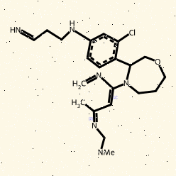 C=N/C(=C\C(C)=N/CNC)N1CCCOCC1c1ccc(NCCC=N)cc1Cl